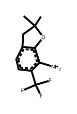 CC1(C)Cc2ccc(C(F)(F)F)c(N)c2O1